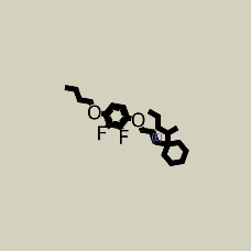 CCCCOc1ccc(OC/C=C/C2(C(C)CCC)CCCCC2)c(F)c1F